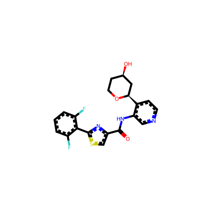 O=C(Nc1cnccc1[C@@H]1C[C@H](O)CCO1)c1csc(-c2c(F)cccc2F)n1